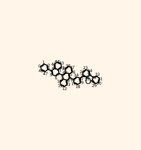 c1ccc(-c2ccc(-c3c4ccccc4c(-c4cccc(-c5cccc6c5oc5ccccc56)c4)c4ccccc34)c3ccccc23)cc1